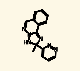 CC1(c2cccnn2)N=C2c3ccccc3C=NN2N1